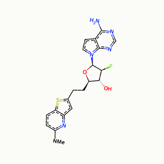 CNc1ccc2sc(CC[C@H]3O[C@@H](n4ccc5c(N)ncnc54)[C@@H](F)[C@@H]3O)cc2n1